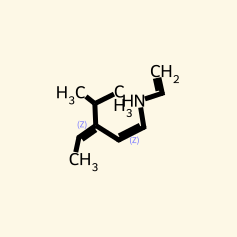 C=CN/C=C\C(=C/C)C(C)C